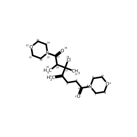 C=C(CCC(=O)N1CCOCC1)C(C)(Cl)C(C)C(=O)N1CCOCC1